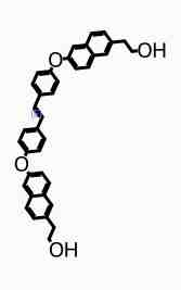 OCCc1ccc2cc(Oc3ccc(/C=C/c4ccc(Oc5ccc6cc(CCO)ccc6c5)cc4)cc3)ccc2c1